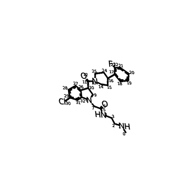 CNCCNC(=O)CN1CC(C(=O)N2CCC(c3ccccc3F)CC2)c2ccc(Cl)cc21